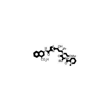 CCC(C)C(NC(=O)C1CCCCN1C)C(=O)N(CCOC)[C@H](C[C@@H](O)c1nc(C(=O)N[C@H]2Cc3ccccc3[C@H](C(=O)O)C2)cs1)C(C)C